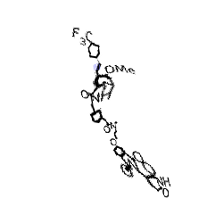 COc1cnc(C(=O)NCc2cccc(CC(=O)N(C)CCCOc3ccc4c(c3)C(=O)N(C3CCC(=O)NC3=O)C4=O)c2)cc1/C=C/[C@H]1CC[C@H](C(F)(F)F)CC1